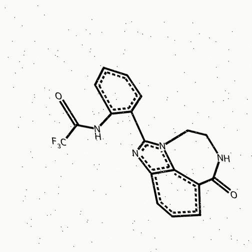 O=C1NCCn2c(-c3ccccc3NC(=O)C(F)(F)F)nc3cccc1c32